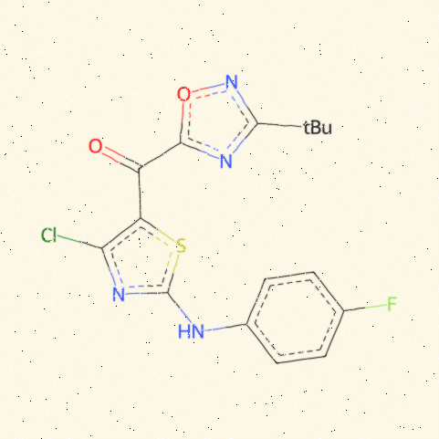 CC(C)(C)c1noc(C(=O)c2sc(Nc3ccc(F)cc3)nc2Cl)n1